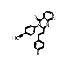 C#Cc1ccc(-n2c(C=Cc3ccc(F)cc3)nc3ncccc3c2=O)cc1